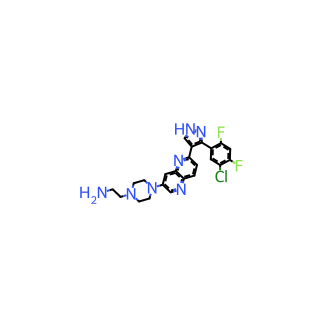 NCCN1CCN(c2cnc3ccc(-c4c[nH]nc4-c4cc(Cl)c(F)cc4F)nc3c2)CC1